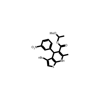 CCCCc1csc2c1C(c1cccc([N+](=O)[O-])c1)C(C(=O)OC(C)OC)=C(C)N2